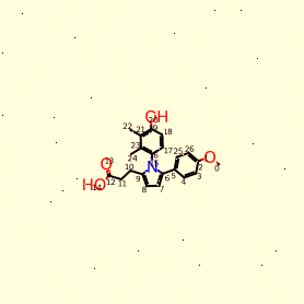 COc1ccc(-c2ccc(CCC(=O)O)n2-c2ccc(O)c(C)c2C)cc1